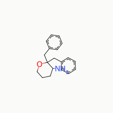 NC1CCCOC1(Cc1ccccc1)Cc1ccccc1